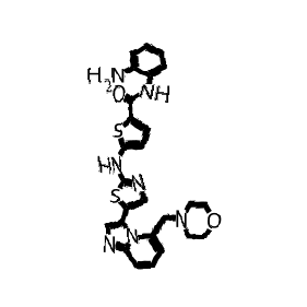 Nc1ccccc1NC(=O)c1ccc(Nc2ncc(-c3cnc4cccc(CN5CCOCC5)n34)s2)s1